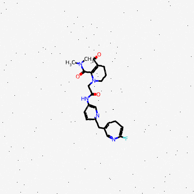 CN(C)C(=O)C1=C(C=O)CCCN1CC(=O)Nc1ccc(CC2=CCC=C(F)N=C2)nc1